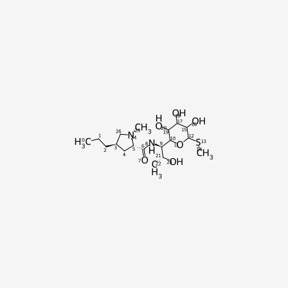 CCC[C@@H]1C[C@@H](C(=O)N[C@@H](C2OC(SC)C(O)C(O)C2O)[C@@H](C)O)N(C)C1